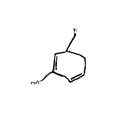 CCCC1=CC(F)CC=C1